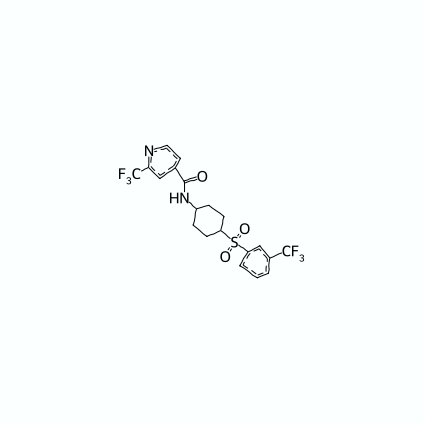 O=C(NC1CCC(S(=O)(=O)c2cccc(C(F)(F)F)c2)CC1)c1ccnc(C(F)(F)F)c1